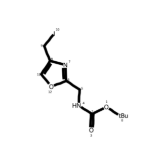 CC(C)(C)OC(=O)NCc1nc(CI)co1